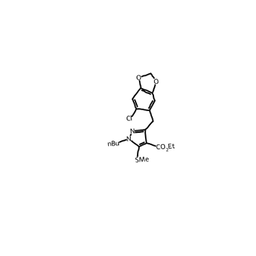 CCCCn1nc(Cc2cc3c(cc2Cl)OCO3)c(C(=O)OCC)c1SC